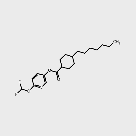 CCCCCCCC1CCC(C(=O)Oc2ccc(OC(F)F)nc2)CC1